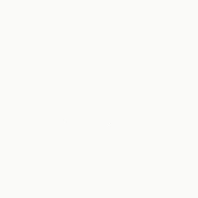 O=C(OC1CCCCC1)C(COc1ccc(C(F)(F)F)cc1Cl)Oc1ccccc1Cl